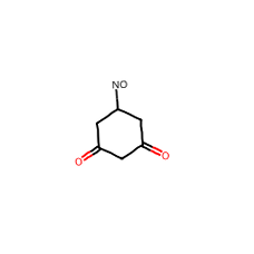 O=NC1CC(=O)CC(=O)C1